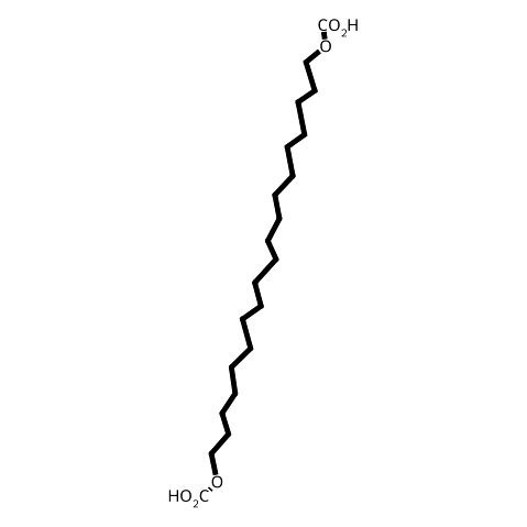 O=C(O)OCCCCCCCCCCCCCCCCCCCOC(=O)O